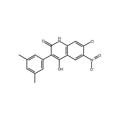 Cc1cc(C)cc(-c2c(O)c3cc([N+](=O)[O-])c(Cl)cc3[nH]c2=O)c1